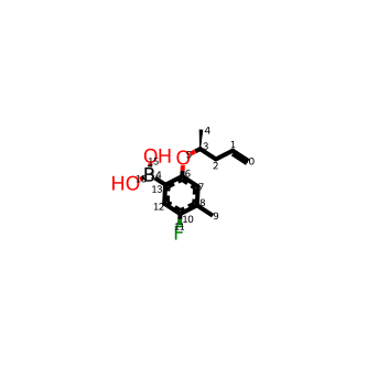 C=CC[C@H](C)Oc1cc(C)c(F)cc1B(O)O